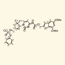 COc1cc(OC)c2oc(COC(=O)Nc3ccn([C@@H]4O[C@H](COP(=O)(Cl)Oc5ccccc5)CC4(F)F)c(=O)n3)cc2c1